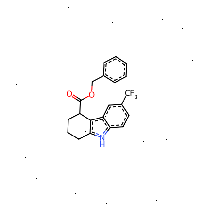 O=C(OCc1ccccc1)C1CCCc2[nH]c3ccc(C(F)(F)F)cc3c21